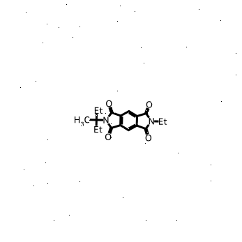 CCn1c(=O)c2cc3c(=O)n(C(C)(CC)CC)c(=O)c3cc2c1=O